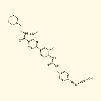 CCNc1nc(-c2ccc(NC(=O)NCc3ccc(/B=N/C#CO)nc3)c(F)c2)ccc1C(=O)NCCN1CCCCC1